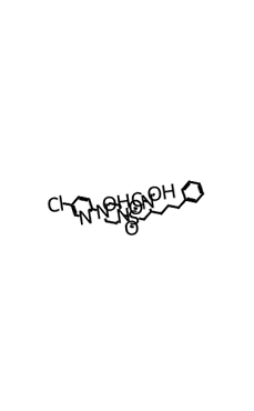 O=CN(O)C(CCCc1ccccc1)CS(=O)(=O)N1CCN(c2ccc(Cl)cn2)CC1